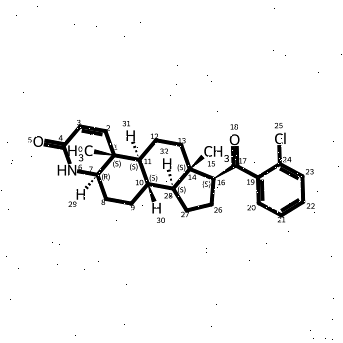 C[C@]12C=CC(=O)N[C@@H]1CC[C@@H]1[C@@H]2CC[C@]2(C)[C@@H](C(=O)c3ccccc3Cl)CC[C@@H]12